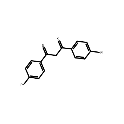 CC(C)c1ccc(C(=S)CC(=S)c2ccc(C(C)C)cc2)cc1